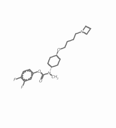 CN(C(=O)Oc1ccc(F)c(F)c1)[C@H]1CC[C@H](OCCCCN2CCC2)CC1